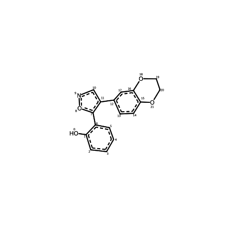 Oc1ccccc1-c1oncc1-c1ccc2c(c1)OCCO2